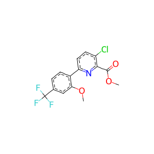 COC(=O)c1nc(-c2ccc(C(F)(F)F)cc2OC)ccc1Cl